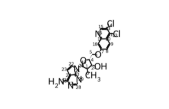 C[C@@H]1[C@H](O)[C@@H](COc2ccc3c(Cl)c(Cl)cnc3c2)O[C@H]1n1ccc2c(N)ncnc21